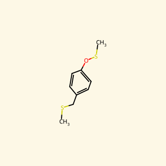 CSCc1ccc(OSC)cc1